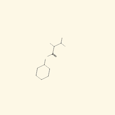 O=C(OC1CCCCC1)C(F)C(F)F